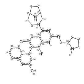 CN1CCC[C@H]1COc1nc(N2CCC3CCC(C2)N3)c2cc(Cl)c(-c3cc(O)cc4ccccc34)c(F)c2n1